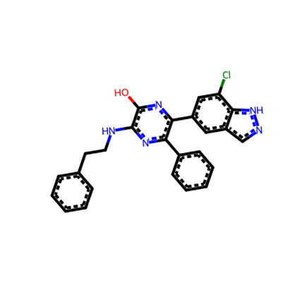 Oc1nc(-c2cc(Cl)c3[nH]ncc3c2)c(-c2ccccc2)nc1NCCc1ccccc1